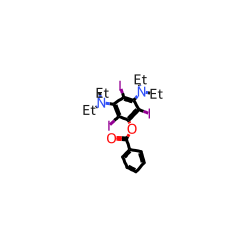 CCN(CC)c1c(I)c(OC(=O)c2ccccc2)c(I)c(N(CC)CC)c1I